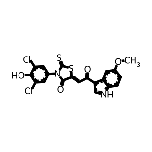 COc1ccc2[nH]cc(C(=O)/C=C3\SC(=S)N(c4cc(Cl)c(O)c(Cl)c4)C3=O)c2c1